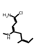 C/C=C(/C)C/C(=C\C=C(/N)Cl)NC